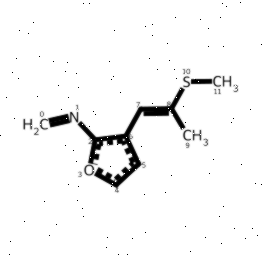 C=Nc1occc1/C=C(\C)SC